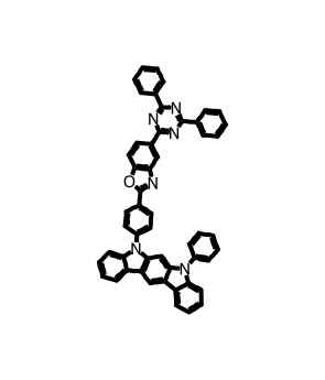 c1ccc(-c2nc(-c3ccccc3)nc(-c3ccc4oc(-c5ccc(-n6c7ccccc7c7cc8c9ccccc9n(-c9ccccc9)c8cc76)cc5)nc4c3)n2)cc1